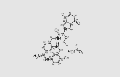 CC(=O)O.CCOC(C(=O)NCc1ccc(C(=N)N)cc1NCc1ccccc1F)N1C=C2C(C)=CCC(=O)C2C1